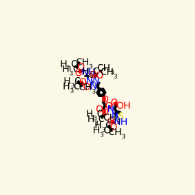 CC(C)(C)OC(=O)NCCN(C(=O)OC(C)(C)C)C1=NC(c2ccc(OCC(ON=C(C(=O)O)c3csc(NC(=O)OC(C)(C)C)n3)C(=O)OC(C)(C)C)cc2)CN1C(=O)OC(C)(C)C